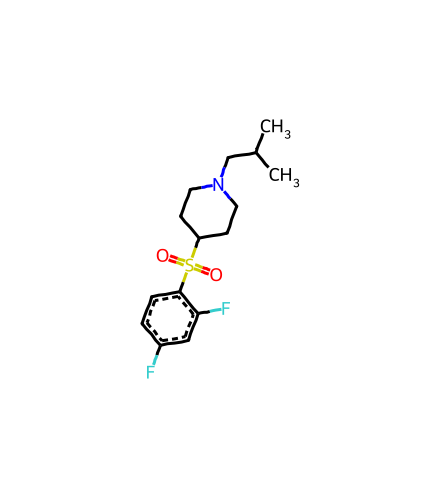 C[C](C)CN1CCC(S(=O)(=O)c2ccc(F)cc2F)CC1